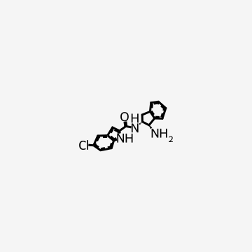 N[C@@H]1c2ccccc2C[C@H]1NC(=O)c1cc2cc(Cl)ccc2[nH]1